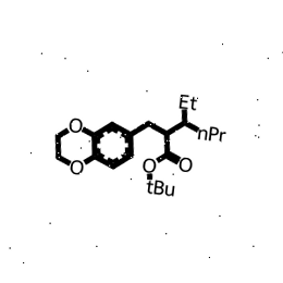 CCCC(CC)C(Cc1ccc2c(c1)OCCO2)C(=O)OC(C)(C)C